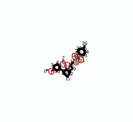 COc1ccc(OC)c(-c2cccc3c2OC(COS(=O)(=O)c2ccc(C)cc2)C3)c1